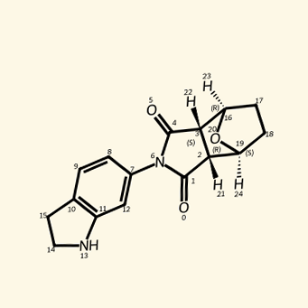 O=C1[C@@H]2[C@H](C(=O)N1c1ccc3c(c1)NCC3)[C@H]1CC[C@@H]2O1